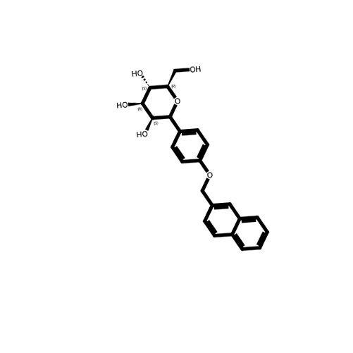 OC[C@H]1OC(c2ccc(OCc3ccc4ccccc4c3)cc2)[C@@H](O)[C@@H](O)[C@@H]1O